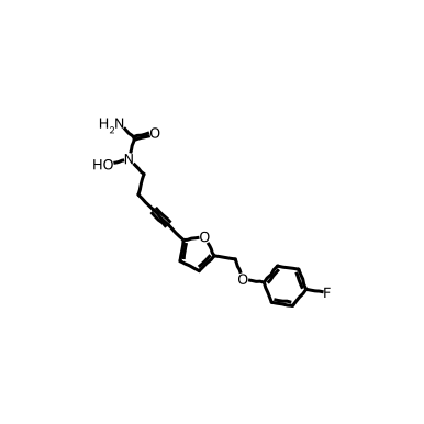 NC(=O)N(O)CCC#Cc1ccc(COc2ccc(F)cc2)o1